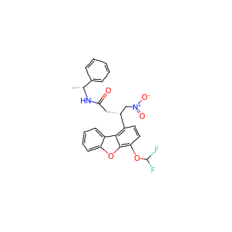 C[C@@H](NC(=O)C[C@H](C[N+](=O)[O-])c1ccc(OC(F)F)c2oc3ccccc3c12)c1ccccc1